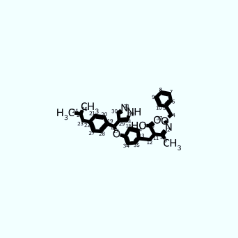 CC(=NOCc1ccccc1)C(Cc1ccc(OC(c2ccc(CC(C)C)cc2)c2cn[nH]c2)cc1)C(=O)O